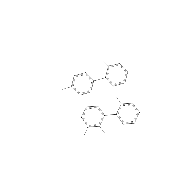 CCc1ccc(-c2ccccc2O)cc1.CCc1ccccc1-c1cccc(O)c1CC